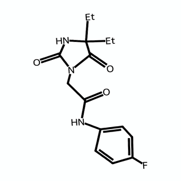 CCC1(CC)NC(=O)N(CC(=O)Nc2ccc(F)cc2)C1=O